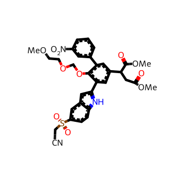 COCCOCOc1c(-c2cccc([N+](=O)[O-])c2)cc(C(CC(=O)OC)C(=O)OC)cc1-c1cc2cc(S(=O)(=O)CC#N)ccc2[nH]1